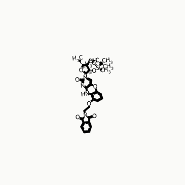 CC[C@H]1O[C@@H](n2cc3c(nc2=O)Nc2c(OCCN4C(=O)c5ccccc5C4=O)cccc2O3)[C@@H](O[Si](C)(C)C(C)(C)C)C1O